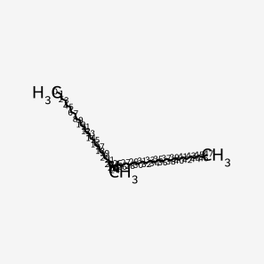 CCCCCCCCCCCCCCCCCCCCCCCN(C)CCCCCCCCCCCCCCCCCCCCCCC